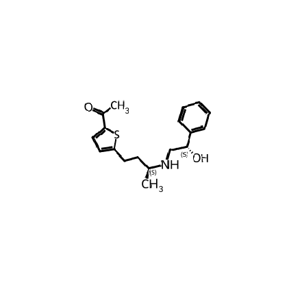 CC(=O)c1ccc(CC[C@H](C)NC[C@@H](O)c2ccccc2)s1